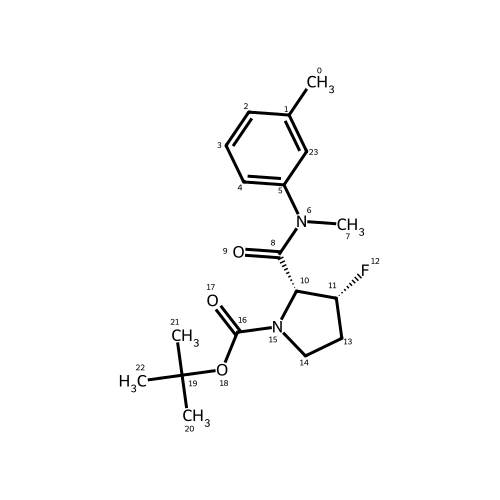 Cc1cccc(N(C)C(=O)[C@@H]2[C@H](F)CCN2C(=O)OC(C)(C)C)c1